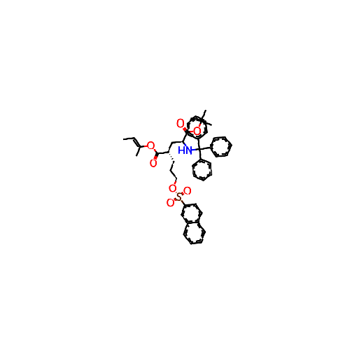 C/C=C(\C)OC(=O)[C@@H](CCCOS(=O)(=O)c1ccc2ccccc2c1)C[C@H](NC(c1ccccc1)(c1ccccc1)c1ccccc1)C(=O)OC(C)(C)C